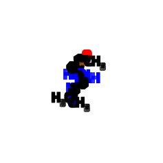 CC(=O)c1ccc(-c2cccc3[nH]c(-c4n[nH]c5ccc(-c6cncc(CN(C)C)c6)nc45)nc23)s1